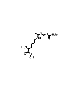 CSC(=O)OCN=C(C)NCCCC[C@H](N)C(=O)OO